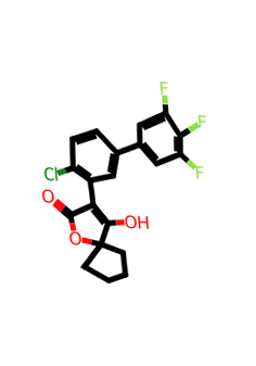 O=C1OC2(CCCC2)C(O)=C1c1cc(-c2cc(F)c(F)c(F)c2)ccc1Cl